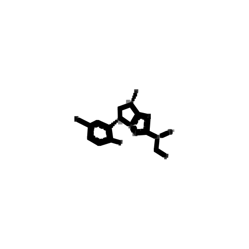 [O-][S+](CF)c1nc2n(n1)[C@H](c1cc(F)ccc1F)C[C@@H]2F